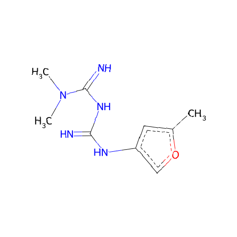 Cc1cc(NC(=N)NC(=N)N(C)C)co1